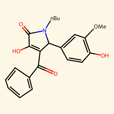 CCCCN1C(=O)C(O)=C(C(=O)c2ccccc2)C1c1ccc(O)c(OC)c1